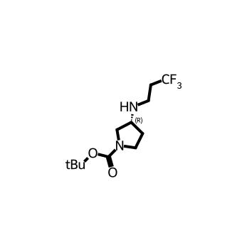 CC(C)(C)OC(=O)N1CC[C@@H](NCCC(F)(F)F)C1